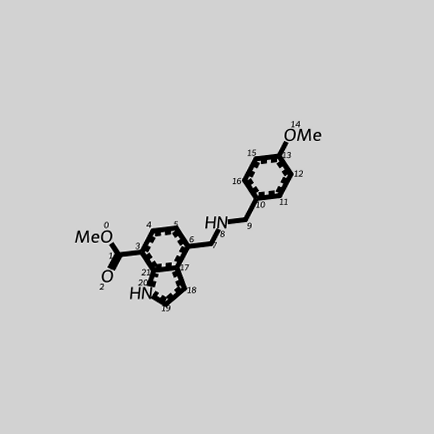 COC(=O)c1ccc(CNCc2ccc(OC)cc2)c2cc[nH]c12